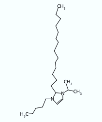 CCCCCCCCCCCCCCC1N(CCCCC)C=CN1C(C)C